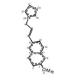 COc1ccc2cc(C=CCn3ccnc3)ccc2c1